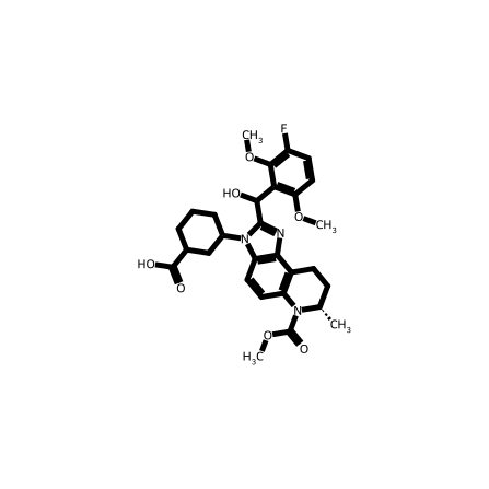 COC(=O)N1c2ccc3c(nc(C(O)c4c(OC)ccc(F)c4OC)n3C3CCCC(C(=O)O)C3)c2CC[C@@H]1C